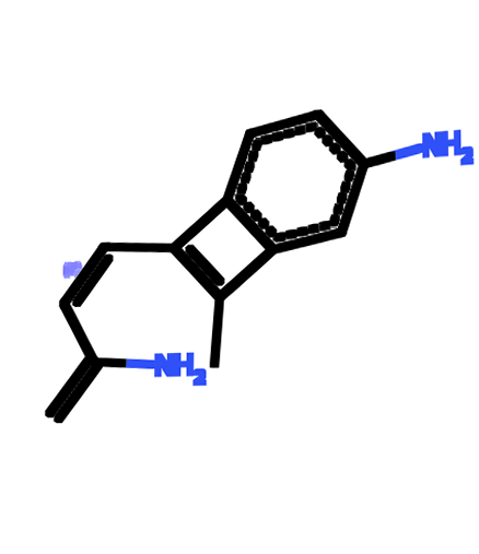 C=C(N)/C=C\C1=C(C)c2cc(N)ccc21